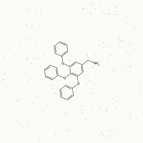 NCc1cc(Oc2ccccc2)c(Oc2ccccc2)c(Oc2ccccc2)c1